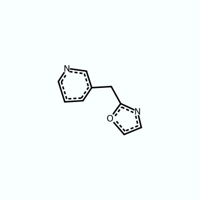 c1cncc(Cc2ncco2)c1